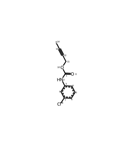 O=C(Nc1cccc(Cl)c1)OCC#CI